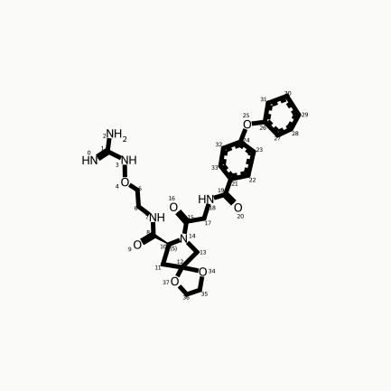 N=C(N)NOCCNC(=O)[C@@H]1CC2(CN1C(=O)CNC(=O)c1ccc(Oc3ccccc3)cc1)OCCO2